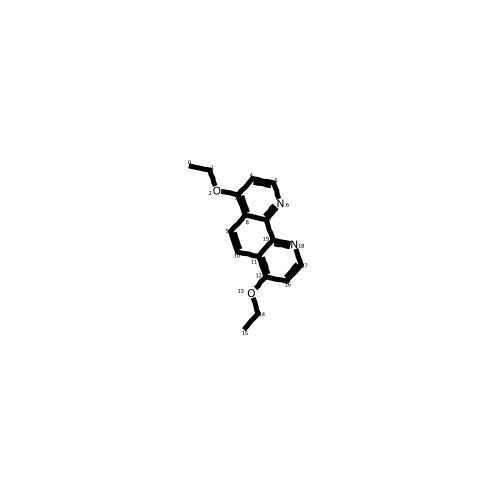 CCOc1ccnc2c1ccc1c(OCC)ccnc12